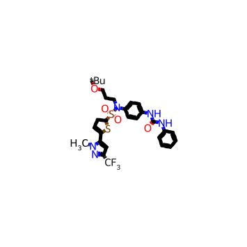 Cn1nc(C(F)(F)F)cc1C1=CCC(S(=O)(=O)N(CCCOC(C)(C)C)c2ccc(NC(=O)Nc3ccccc3)cc2)S1